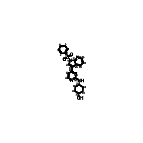 O=S(=O)(c1ccccc1)n1cc(-c2ccnc(N[C@H]3CC[C@H](O)CC3)n2)c2cccnc21